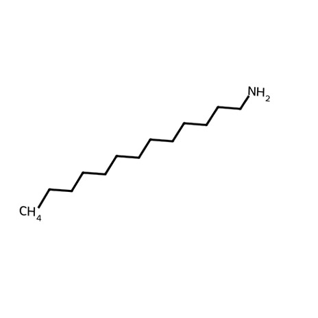 C.CCCCCCCCCCCCCN